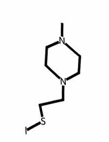 CN1CCN(CCSI)CC1